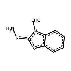 N/N=c1/sc2ccccc2n1C=O